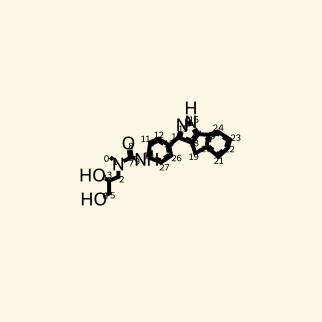 CN(CC(O)CO)C(=O)Nc1ccc(-c2n[nH]c3c2Cc2ccccc2-3)cc1